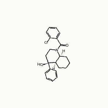 O=C(c1ccccc1Cl)N1CC[C@@](O)(c2ccccc2)[C@@H]2CCCC[C@@H]21